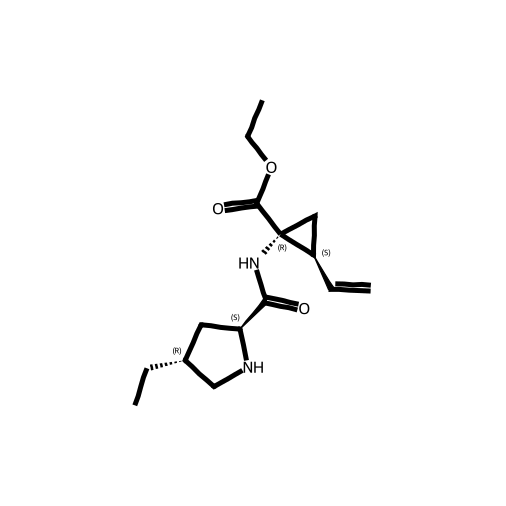 C=C[C@@H]1C[C@]1(NC(=O)[C@@H]1C[C@@H](CC)CN1)C(=O)OCC